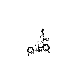 C=CCOC(=O)Nc1ccc(C)nc1C(=O)Nc1cccc(C)n1